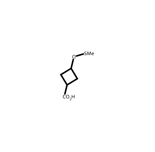 CSOC1CC(C(=O)O)C1